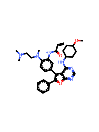 C=CC(=O)Nc1cc(-c2c(-c3ccccc3)oc3ncnc(NC4CCC(OC)CC4)c23)ccc1N(C)CCN(C)C